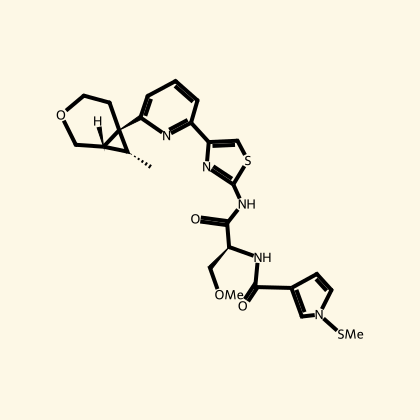 COC[C@H](NC(=O)c1ccn(SC)c1)C(=O)Nc1nc(-c2cccc([C@]34CCOC[C@H]3[C@H]4C)n2)cs1